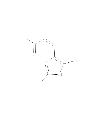 C=C(C)/C=C\c1cc(C(C)C)[nH]c1C